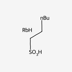 CCCCCCS(=O)(=O)O.[RbH]